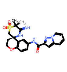 CC1(C)C(=N)N[C@@]2(CCOc3ccc(NC(=O)c4cc5ccccn5n4)cc32)CS1(=O)=O